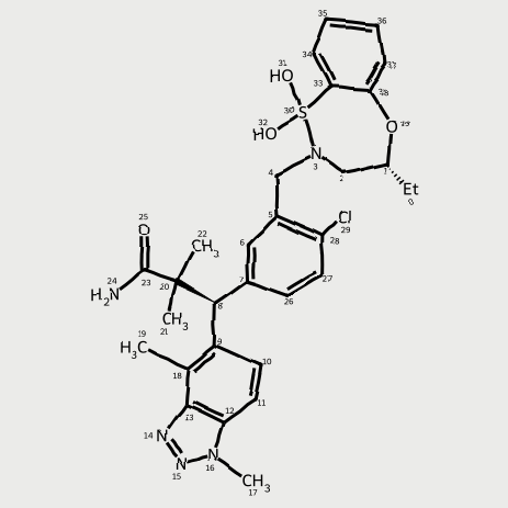 CC[C@@H]1CN(Cc2cc([C@@H](c3ccc4c(nnn4C)c3C)C(C)(C)C(N)=O)ccc2Cl)S(O)(O)c2ccccc2O1